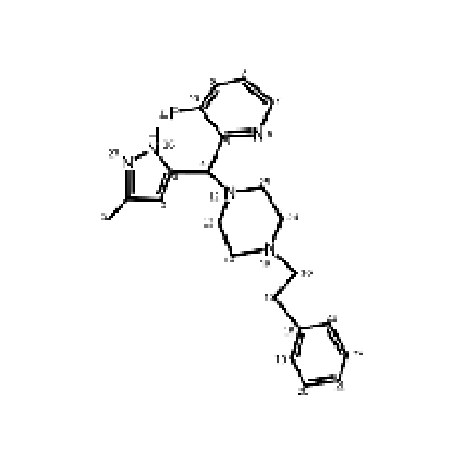 Cc1cc(C(c2ncccc2F)N2CCN(CCc3ccccc3)CC2)[nH]n1